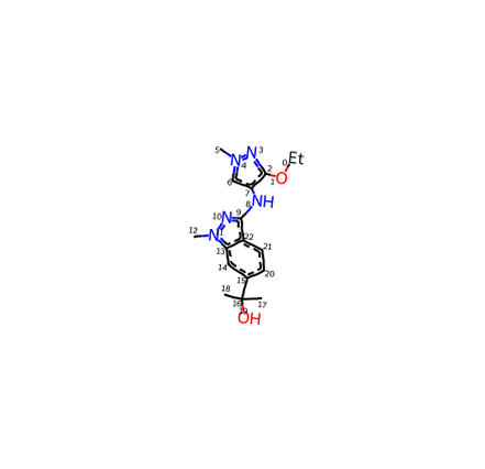 CCOc1nn(C)cc1Nc1nn(C)c2cc(C(C)(C)O)ccc12